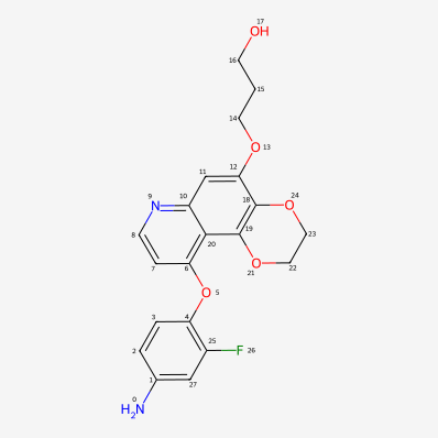 Nc1ccc(Oc2ccnc3cc(OCCCO)c4c(c23)OCCO4)c(F)c1